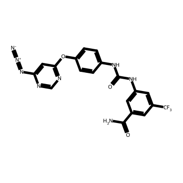 [N-]=[N+]=Nc1cc(Oc2ccc(NC(=O)Nc3cc(C(N)=O)cc(C(F)(F)F)c3)cc2)ncn1